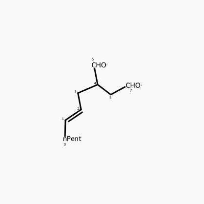 CCCCCC=CCC([C]=O)C[C]=O